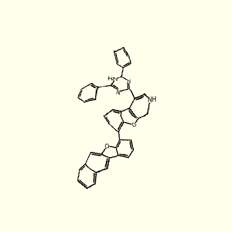 C1=C(C2=NC(c3ccccc3)NC(c3ccccc3)=N2)c2c(oc3c(-c4cccc5c4oc4cc6ccccc6cc45)cccc23)CN1